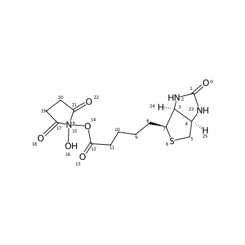 O=C1N[C@H]2[C@H](CS[C@H]2CCCCC(=O)O[N+]2(O)C(=O)CCC2=O)N1